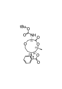 CC[C@H]1CCOC[C@H](NC(=O)OC(C)(C)C)C(=O)O[C@@H](C)[C@@H]1OC(=O)c1ccccc1